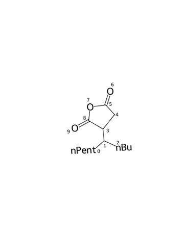 CCCCCC(CCCC)C1CC(=O)OC1=O